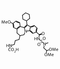 COc1ccc2c(c1)CC(CCCNC(=O)O)Cn1c-2c(C2CCCCC2)c2ccc(C(=O)NS(=O)(=O)N(C)CC(OC)OC)cc21